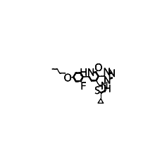 CCCCOc1ccc(-c2cc(-c3ncc(C4CC4)s3)c(-c3nnc[nH]3)c(=O)[nH]2)c(F)c1